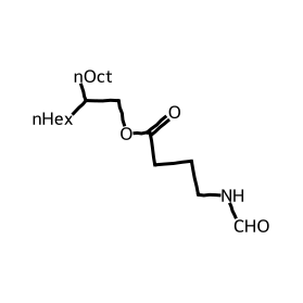 CCCCCCCCC(CCCCCC)COC(=O)CCCNC=O